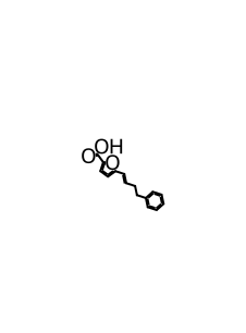 O=C(O)c1ccc(C=CCCc2ccccc2)o1